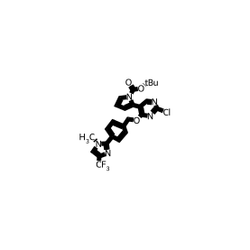 Cn1cc(C(F)(F)F)nc1-c1ccc(COc2nc(Cl)ncc2-c2cccn2C(=O)OC(C)(C)C)cc1